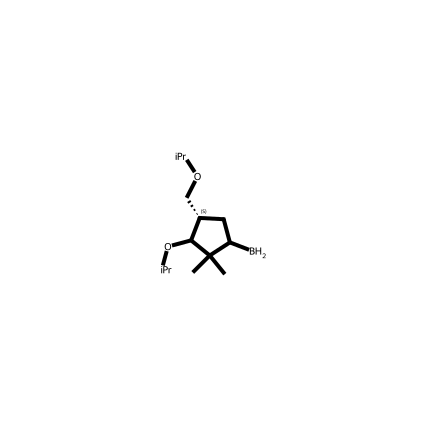 BC1C[C@@H](COC(C)C)C(OC(C)C)C1(C)C